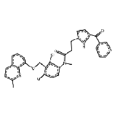 Cc1ccc2cccc(OCc3c(Cl)ccc(N(C)C(=O)CCc4ccc(C(=O)c5cccnc5)[nH]4)c3Cl)c2n1